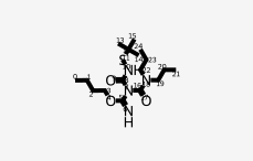 CCCCOC(=N)N(C(=O)NSC(C)(C)C)C(=O)N(CCC)CCC